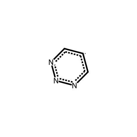 [c]1cnnnc1